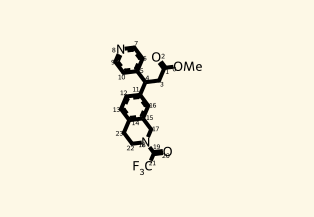 COC(=O)CC(c1ccncc1)c1ccc2c(c1)CN(C(=O)C(F)(F)F)CC2